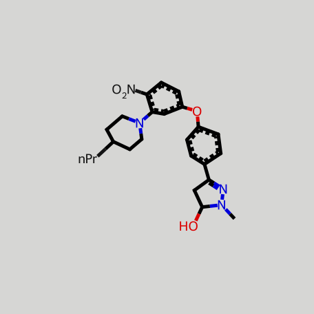 CCCC1CCN(c2cc(Oc3ccc(C4=NN(C)C(O)C4)cc3)ccc2[N+](=O)[O-])CC1